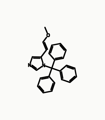 COC=Cc1cncn1C(c1ccccc1)(c1ccccc1)c1ccccc1